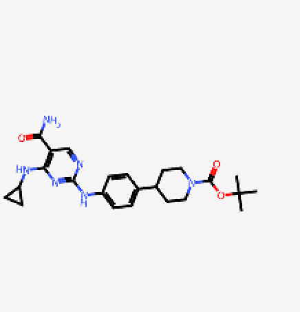 CC(C)(C)OC(=O)N1CCC(c2ccc(Nc3ncc(C(N)=O)c(NC4CC4)n3)cc2)CC1